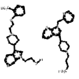 CCOCCn1cc(C2CCN(CCOc3ccccc3C(=O)O)CC2)c2ccncc21.O=C(O)CCCN1CCC(c2cn(Cc3ccccn3)c3ncccc23)CC1